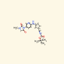 CN1CC(=O)N(c2ccc(N[C@H]3CCC(C#[N+]C(=O)OC(C)(C)C)C3)nc2)C1=O